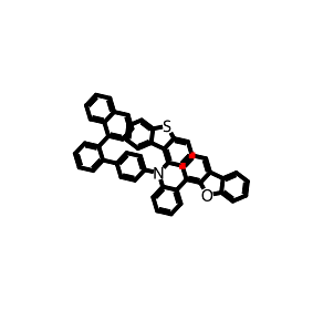 c1ccc(-c2cccc3ccccc23)c(-c2ccc(N(c3ccccc3-c3cccc4c3oc3ccccc34)c3cccc4sc5ccccc5c34)cc2)c1